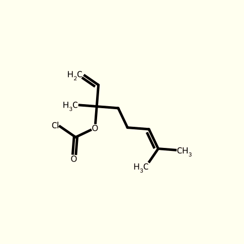 C=CC(C)(CCC=C(C)C)OC(=O)Cl